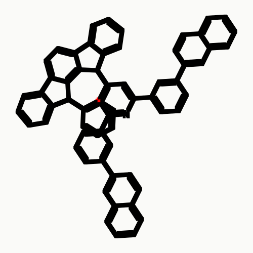 c1ccc(C2c3ccccc3-c3ccc4c(c32)C(c2cc(-c3cccc(-c5ccc6ccccc6c5)c3)nc(-c3cccc(-c5ccc6ccccc6c5)c3)c2)c2ccccc2-4)cc1